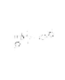 Cc1cccc(N2CCN(CCCCNC(=O)c3cc(-c4ccc(Cl)cc4)[nH]c3C)CC2)c1C